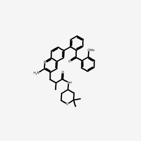 COc1ccccc1C(=O)c1ccccc1-c1ccc2nc(N)c(CC(C)C(=O)NC3CCOC(C)(C)C3)cc2c1